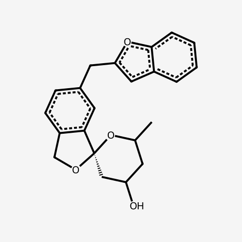 CC1CC(O)C[C@@]2(OCc3ccc(Cc4cc5ccccc5o4)cc32)O1